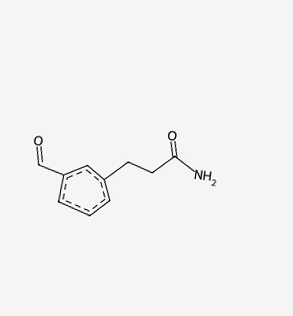 NC(=O)CCc1cccc(C=O)c1